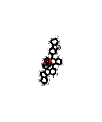 c1cc2c(c(-c3c4ccccc4c(-c4ccc5c(c4)oc4ccccc45)c4ccccc34)c1)C1(c3ccc4ccccc4c3-2)C2CC3CC(C2)CC1C3